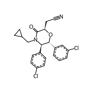 N#CC[C@H]1O[C@H](c2cccc(Cl)c2)[C@@H](c2ccc(Cl)cc2)N(CC2CC2)C1=O